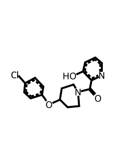 O=C(c1ncccc1O)N1CCC(Oc2ccc(Cl)cc2)CC1